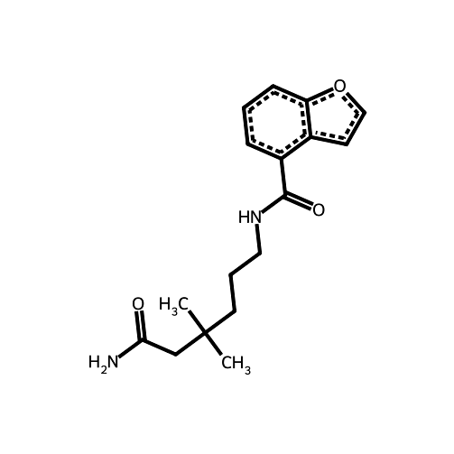 CC(C)(CCCNC(=O)c1cccc2occc12)CC(N)=O